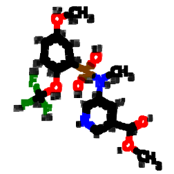 COC(=O)c1cncc(N(C)S(=O)(=O)c2cc(OC)ccc2OC(F)(F)F)c1